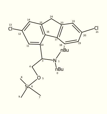 CCCCN(CCCC)C(CO[Si](C)(C)C)c1cc(Cl)cc2c1-c1ccc(Cl)cc1C2